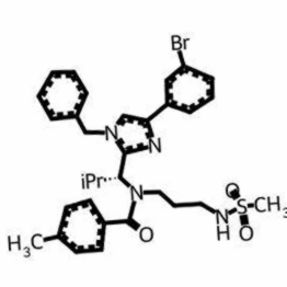 Cc1ccc(C(=O)N(CCCNS(C)(=O)=O)[C@@H](c2nc(-c3cccc(Br)c3)cn2Cc2ccccc2)C(C)C)cc1